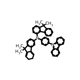 CC1(C)C2=CCCC=C2c2cc(N(c3ccc(-n4c5ccccc5c5ccccc54)cc3)c3cccc4c3-c3ccccc3C4(C)C)ccc21